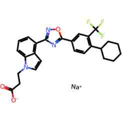 O=C([O-])CCn1ccc2c(-c3noc(-c4ccc(C5CCCCC5)c(C(F)(F)F)c4)n3)cccc21.[Na+]